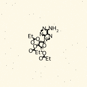 CCC(=O)OC[C@H]1O[C@@H](n2cnc3c(N)ncnc32)[C@@H](OC(=O)CC)[C@@H]1OC(=O)CC